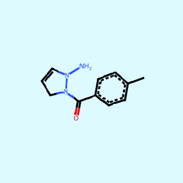 Cc1ccc(C(=O)N2CC=CN2N)cc1